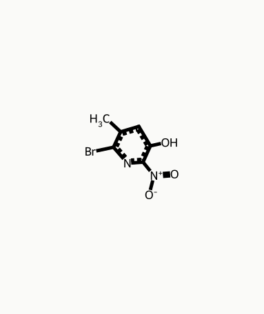 Cc1cc(O)c([N+](=O)[O-])nc1Br